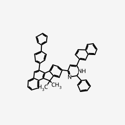 CC1(C)c2cc(C3=NC(c4ccccc4)NC(c4ccc5ccccc5c4)=C3)ccc2-c2c(-c3ccc(-c4ccccc4)cc3)cc3ccccc3c21